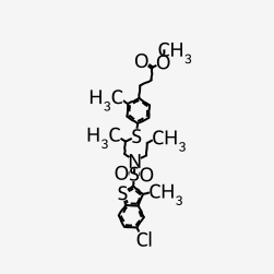 CCCN(CC(C)Sc1ccc(CCC(=O)OC)c(C)c1)S(=O)(=O)c1sc2ccc(Cl)cc2c1C